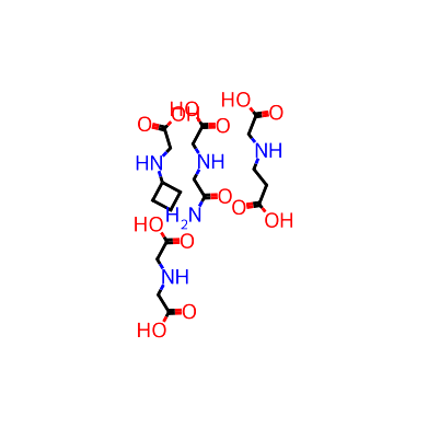 NC(=O)CNCC(=O)O.O=C(O)CCNCC(=O)O.O=C(O)CNC1CCC1.O=C(O)CNCC(=O)O